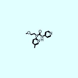 COCCN(C(=O)Nc1ccncc1)c1ccc(C)cn1